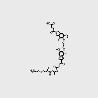 COc1cc2c(c(F)c1OCCCOc1c(OC)cc3sc(C(=O)CCC(=O)OC(C)CNC(=O)CCOCCN)cc3c1F)CN(C(=O)CCC(=O)O)C2